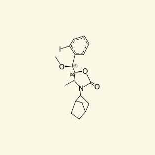 CO[C@@H](c1ccccc1I)[C@H]1OC(=O)N(C2CC3CCC2C3)C1C